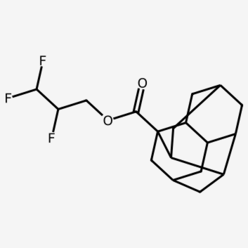 O=C(OCC(F)C(F)F)C12CC3CC4C5CC(CC41)CC2C5C3